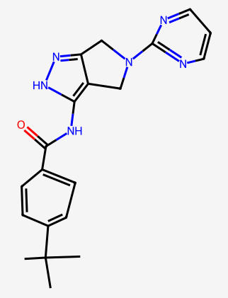 CC(C)(C)c1ccc(C(=O)Nc2[nH]nc3c2CN(c2ncccn2)C3)cc1